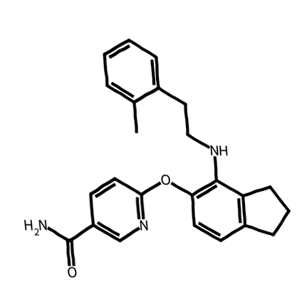 Cc1ccccc1CCNc1c(Oc2ccc(C(N)=O)cn2)ccc2c1CCC2